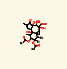 CCC(C)C(=O)OC1C(C)C2(O)C3C=C(C)C(=O)C3(O)C(O)C(O)(CO)C3CC32C(CC)C1(CC)OC(=O)C(C)CC